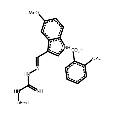 CC(=O)Oc1ccccc1C(=O)O.CCCCCNC(=N)N/N=C/c1c[nH]c2ccc(OC)cc12